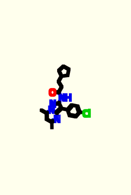 Cc1cc(C)n2nc(NC(=O)CCC3CCCC3)c(-c3ccc(Cl)cc3)c2n1